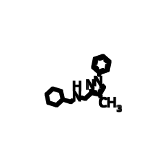 Cc1cn(-c2ccccc2)nc1CNCC1CCCCC1